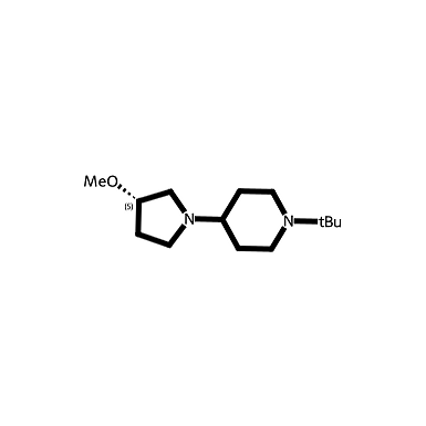 CO[C@H]1CCN(C2CCN(C(C)(C)C)CC2)C1